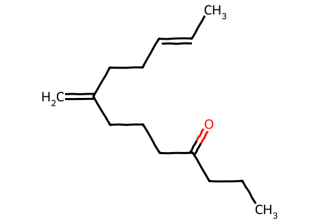 C=C(CCC=CC)CCCC(=O)CCC